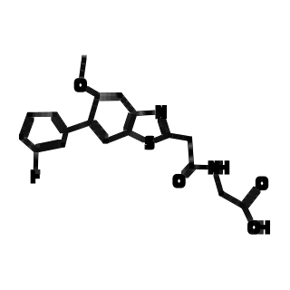 COc1cc2nc(CC(=O)NCC(=O)O)sc2cc1-c1cccc(F)c1